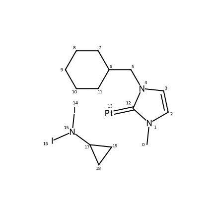 Cn1ccn(CC2CCCCC2)[c]1=[Pt].IN(I)C1CC1